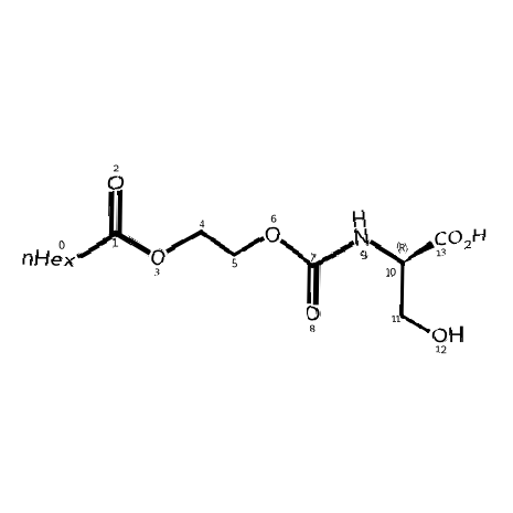 CCCCCCC(=O)OCCOC(=O)N[C@H](CO)C(=O)O